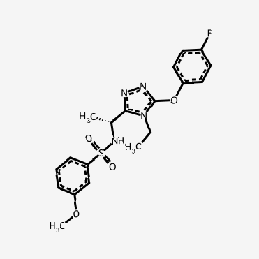 CCn1c(Oc2ccc(F)cc2)nnc1[C@@H](C)NS(=O)(=O)c1cccc(OC)c1